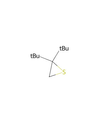 CC(C)(C)C1(C(C)(C)C)CS1